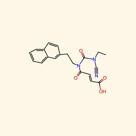 CCN(C#N)C(=O)N(CCc1ccc2ccccc2c1)C(=O)/C=C/C(=O)O